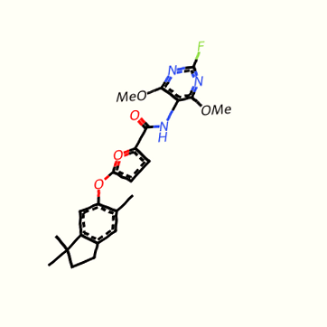 COc1nc(F)nc(OC)c1NC(=O)c1ccc(Oc2cc3c(cc2C)CCC3(C)C)o1